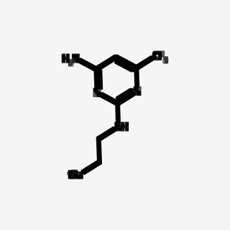 CC(C)(C)CCNc1nc(N)cc(C(F)(F)F)n1